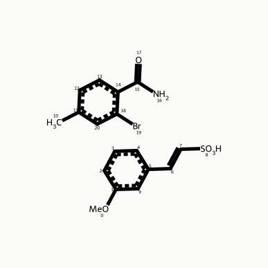 COc1cccc(/C=C/S(=O)(=O)O)c1.Cc1ccc(C(N)=O)c(Br)c1